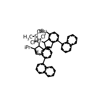 CC1=Cc2c(-c3cccc4ccccc34)ccc(C(C)(C)C)c2[CH]1[Zr]([Cl])([Cl])([CH]1C(C(C)C)=Cc2c(-c3cccc4ccccc34)cccc21)[SiH](C)C